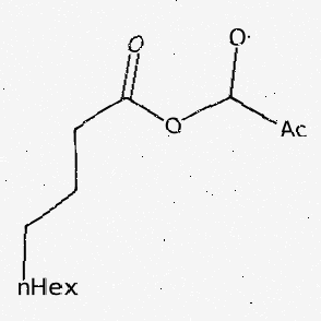 CCCCCCCCCC(=O)OC([O])C(C)=O